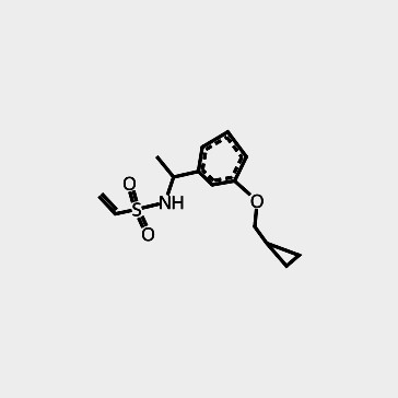 C=CS(=O)(=O)NC(C)c1cccc(OCC2CC2)c1